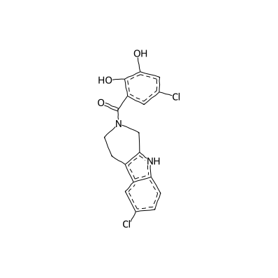 O=C(c1cc(Cl)cc(O)c1O)N1CCc2c([nH]c3ccc(Cl)cc23)C1